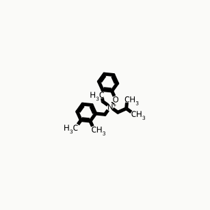 CC[N+](Cc1cccc(C)c1C)(CC(C)C)Oc1ccccc1